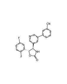 N#Cc1cccc(-c2cncc([C@H]3NC(=O)O[C@@H]3c3cc(F)ccc3F)c2)c1